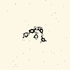 Cc1cc(F)cc(COc2ccc3[nH]nc(NC(=O)c4ccc(N5CCN(C)CC5)cc4NC4CCOCC4)c3c2)c1